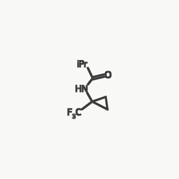 CC(C)C(=O)NC1(C(F)(F)F)CC1